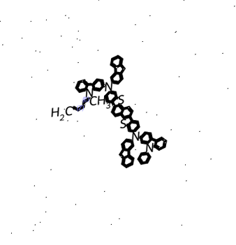 C=C/C=C\C=C(/C)n1c2ccccc2c2ccc(N(c3ccc4c(c3)-c3ccccc3C4)c3ccc4c(c3)sc3c4ccc4c3ccc3c5ccc(N(c6ccc7c(c6)-c6ccccc6C7)c6ccc7c8ccccc8n(-c8ccccc8)c7c6)cc5sc34)cc21